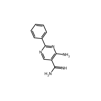 N=C(N)c1cnc(-c2ccccc2)nc1N